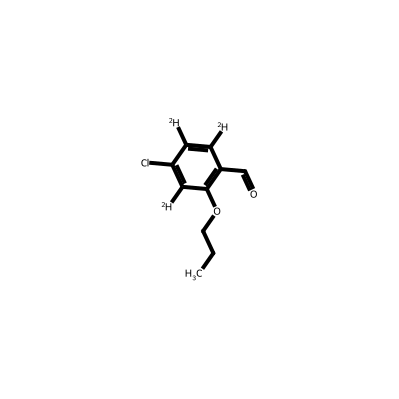 [2H]c1c([2H])c(C=O)c(OCCC)c([2H])c1Cl